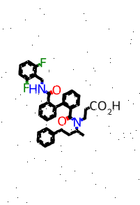 CC(CCc1ccccc1)N(CCC(=O)O)C(=O)c1ccccc1-c1ccccc1C(=O)NCc1c(F)cccc1F